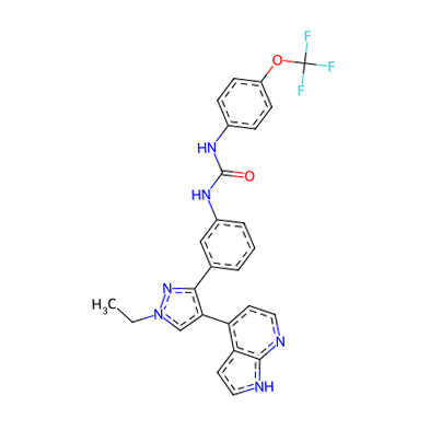 CCn1cc(-c2ccnc3[nH]ccc23)c(-c2cccc(NC(=O)Nc3ccc(OC(F)(F)F)cc3)c2)n1